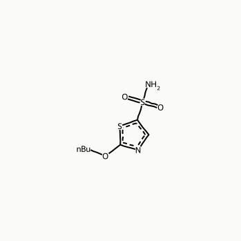 CCCCOc1ncc(S(N)(=O)=O)s1